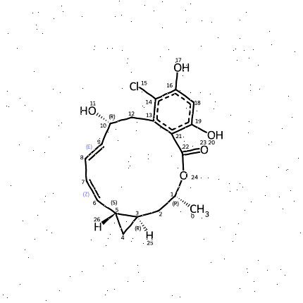 C[C@@H]1C[C@H]2C[C@@H]2/C=C\C=C\[C@H](O)Cc2c(Cl)c(O)cc(O)c2C(=O)O1